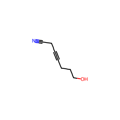 N#CCC#CCCCO